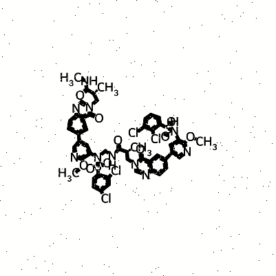 CNC(=O)[C@@H](C)Cn1cnc2ccc(-c3cnc(OC)c(N(CNC(=O)[C@@H](C)Cn4cnc5ccc(-c6cnc(OC)c(NS(=O)(=O)c7cccc(Cl)c7Cl)c6)cc5c4=O)S(=O)(=O)c4ccc(Cl)cc4Cl)c3)cc2c1=O